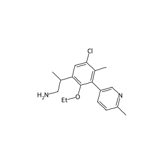 CCOc1c(C(C)CN)cc(Cl)c(C)c1-c1ccc(C)nc1